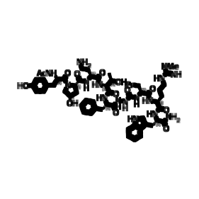 CNC(=N)NCCC[C@H](NC(=O)[C@H](CC(C)C)NC(=O)NNC(=O)[C@H](Cc1ccccc1)NC(=O)[C@@H](NC(=O)[C@H](CCN)NC(=O)[C@@H]1C[C@@H](O)CN1C(=O)[C@@H](Cc1ccc(O)cc1)NC(C)=O)[C@@H](C)O)C(=O)N[C@@H](Cc1c[nH]c2ccccc12)C(N)=O